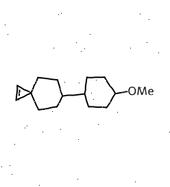 COC1CCC(C2CCC3(C=C3)CC2)CC1